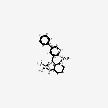 CCOC(=O)N1CCCC(NS(C)(=O)=O)C1Cc1cncc(-c2ccccc2)c1